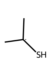 C[C](C)S